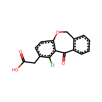 O=C(O)Cc1ccc2c(c1Cl)C(=O)c1ccccc1CO2